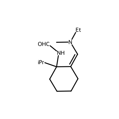 CCN(C)/C=C1/CCCCC1(NC=O)C(C)C